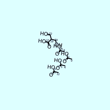 CC(=O)O.CC(=O)O.CC(=O)O.CC(=O)O.O=C(O)C(CO)CO